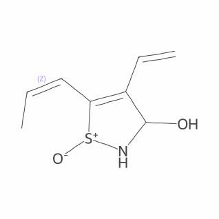 C=CC1=C(/C=C\C)[S+]([O-])NC1O